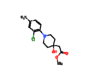 CC(C)(C)OC(=O)CC1(O)CCN(c2ccc([N+](=O)[O-])cc2Cl)CC1